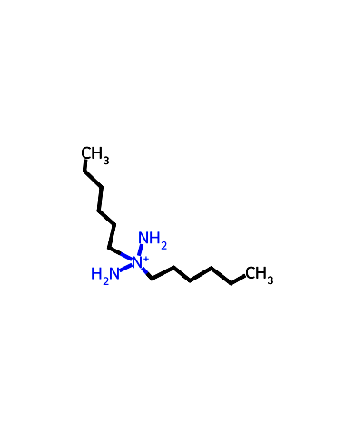 CCCCCC[N+](N)(N)CCCCCC